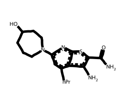 CCCc1cc(N2CCCC(O)CC2)nc2sc(C(N)=O)c(N)c12